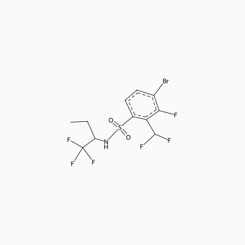 CCC(NS(=O)(=O)c1ccc(Br)c(F)c1C(F)F)C(F)(F)F